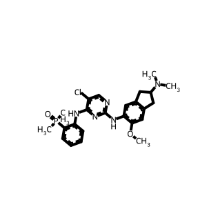 COc1cc2c(cc1Nc1ncc(Cl)c(Nc3ccccc3P(C)(C)=O)n1)CC(N(C)C)C2